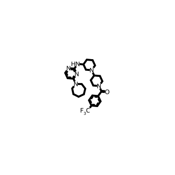 O=C(c1ccc(C(F)(F)F)cc1)N1CCC(N2CCCC(Nc3nccc(N4CCCCCC4)n3)C2)CC1